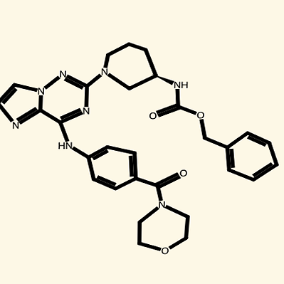 O=C(N[C@@H]1CCCN(c2nc(Nc3ccc(C(=O)N4CCOCC4)cc3)c3nccn3n2)C1)OCc1ccccc1